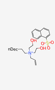 C=CC[N+](CCO)(CCO)CCCCCCCCCCCC.O=S(=O)([O-])c1cccc2ccccc12